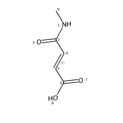 CNC(=O)/C=C/C(=O)O